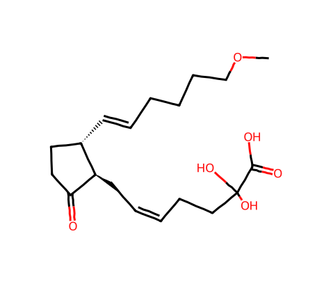 COCCCC/C=C/[C@H]1CCC(=O)[C@@H]1C/C=C\CCC(O)(O)C(=O)O